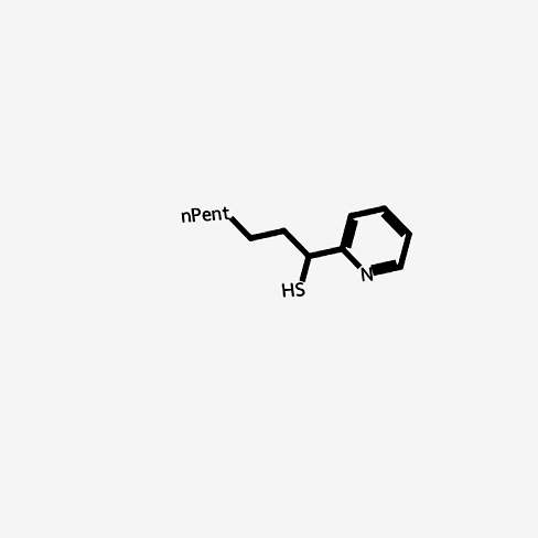 CCCCCCCC(S)c1ccccn1